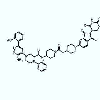 Nc1nnc(-c2ccccc2O)cc1N1CCN(c2ccccc2)C(C(=O)NC2CCN(C(=O)CC3CCN(c4ccc5c(c4)C(=O)N(C4CCC(=O)NC4=O)C5=O)CC3)CC2)C1